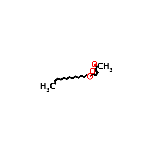 CC/C=C\CCCCCCCCCCOc1ccc(C(C)=O)o1